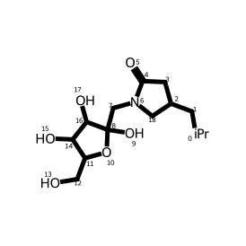 CC(C)CC1CC(=O)N(CC2(O)OC(CO)C(O)C2O)C1